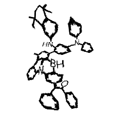 Cc1cc(-c2ccc(N(c3ccccc3)c3ccccc3)cc2Nc2ccc3c(c2)C(C)(C)CCC3(C)C)c2c3c1c1ccccc1n3-c1cc3c(-c4ccccc4)c(-c4ccccc4)oc3cc1B2